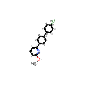 COc1cccc(-c2ccc(-c3ccc(Cl)cc3)cc2)n1